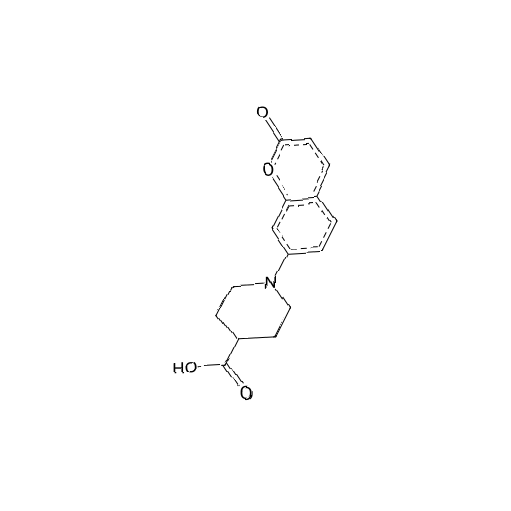 O=C(O)C1CCN(c2ccc3ccc(=O)oc3c2)CC1